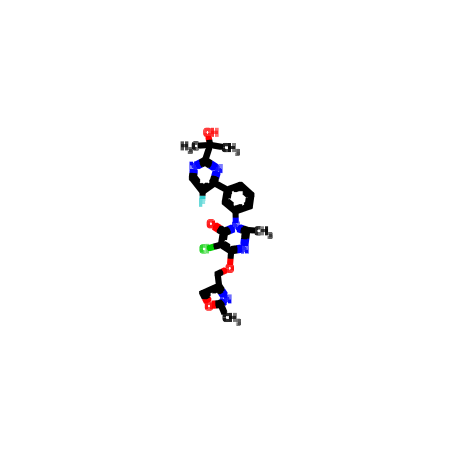 Cc1nc(COc2nc(C)n(-c3cccc(-c4nc(C(C)(C)O)ncc4F)c3)c(=O)c2Cl)co1